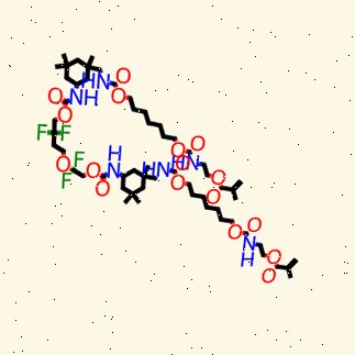 C=C(C)C(=O)OCCNC(=O)OCCCCCCCOC(=O)NCC1(C)CC(NC(=O)OCC(F)(F)CCOC(F)(F)COC(=O)NC2CC(C)(C)CC(C)(CNC(=O)OCCCCCCCOC(=O)NCCOC(=O)C(=C)C)C2)CC(C)(C)C1